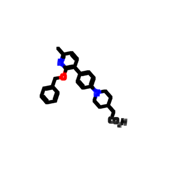 Cc1ccc(-c2ccc(N3CCC(CC(=O)O)CC3)cc2)c(OCc2ccccc2)n1